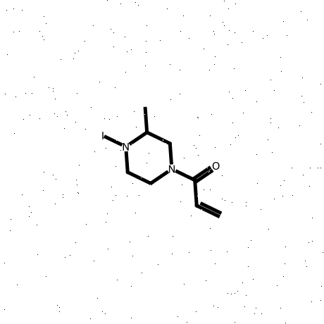 C=CC(=O)N1CCN(I)C(C)C1